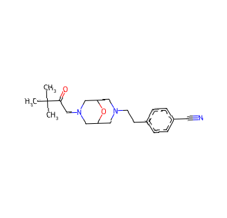 CC(C)(C)C(=O)CN1CC2CN(CCc3ccc(C#N)cc3)CC(C1)O2